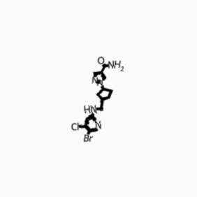 NC(=O)c1cnn(C2CCC(CNc3cc(Cl)c(Br)cn3)C2)c1